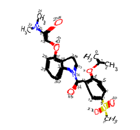 CC(C)Oc1ccc(S(C)(=O)=O)cc1C(=O)N1CCc2c(OCC(=O)N(C)C)cccc21